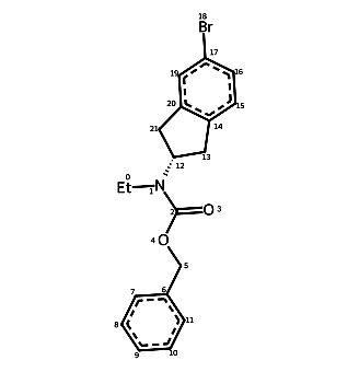 CCN(C(=O)OCc1ccccc1)[C@H]1Cc2ccc(Br)cc2C1